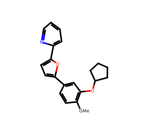 COc1ccc(-c2ccc(-c3ccccn3)o2)cc1OC1CCCC1